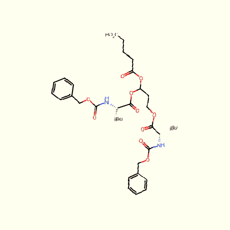 CC[C@H](C)[C@H](NC(=O)OCc1ccccc1)C(=O)OCCC(OC(=O)CCCC(=O)O)OC(=O)[C@@H](NC(=O)OCc1ccccc1)[C@@H](C)CC